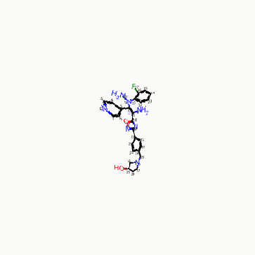 N/C(=C(/c1ccncc1)N(N)c1ccccc1F)c1nc(-c2ccc(CN3CCC(O)C3)cc2)no1